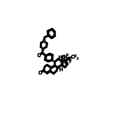 C[C@]12C[C@H](c3ccc(C(=O)N4CCN(Cc5ccccc5)CC4)cc3)C3=C4CCC(=O)C=C4CC[C@H]3[C@@H]1CC[C@]2(O)C(F)(F)C(F)(F)F